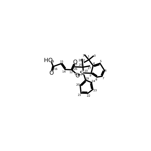 CC(C)(C)c1ccccc1[Si](OC(=O)C=CC(=O)O)(c1ccccc1)C(C)(C)C